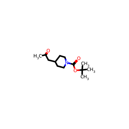 CC(=O)CC1CCN(C(=O)OC(C)(C)C)CC1